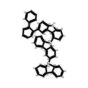 c1ccc(-c2ccccc2-c2ccc3sc4cccc(-n5c6ccccc6c6cc(-n7c8ccccc8c8ccccc87)ccc65)c4c3c2)cc1